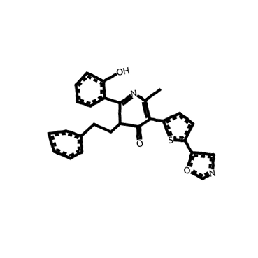 CC1=C(c2ccc(-c3cnco3)s2)C(=O)C(CCc2ccccc2)C(c2ccccc2O)=N1